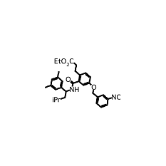 [C-]#[N+]c1cccc(COc2ccc(CCC(=O)OCC)c(C(=O)NC(CC(C)C)c3cc(C)cc(C)c3)c2)c1